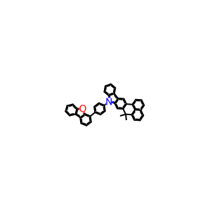 CC1(C)c2cc3c(cc2-c2cccc4cccc1c24)c1ccccc1n3-c1ccc(-c2cccc3c2oc2ccccc23)cc1